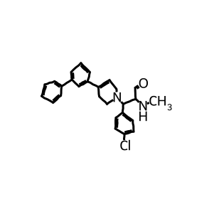 CNC(C=O)C(c1ccc(Cl)cc1)N1CC=C(c2cccc(-c3ccccc3)c2)CC1